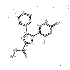 Cc1cc(=O)[nH]nc1-c1sc(C(=O)NC(C)C)nc1-c1ccccc1